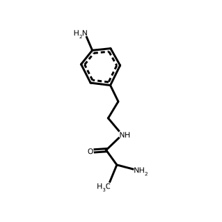 CC(N)C(=O)NCCc1ccc(N)cc1